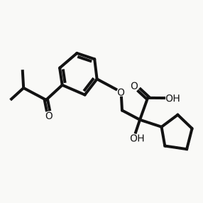 CC(C)C(=O)c1cccc(OCC(O)(C(=O)O)C2CCCC2)c1